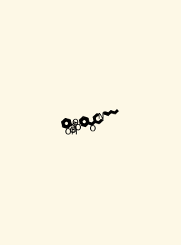 CCCC=CN1CCC(C(=O)c2cccc(OS(=O)(=O)c3ccccc3O)c2)CC1